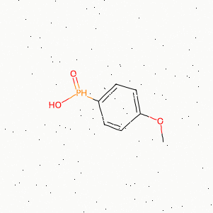 COc1ccc([PH](=O)O)cc1